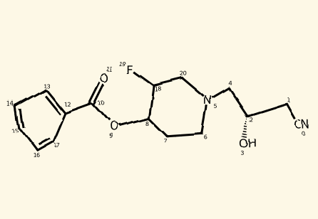 N#CC[C@H](O)CN1CCC(OC(=O)c2ccccc2)C(F)C1